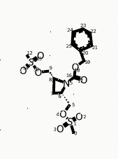 CS(=O)(=O)OC[C@@H]1C[C@H](COS(C)(=O)=O)N1C(=O)OCc1ccccc1